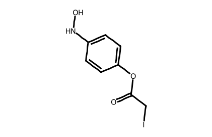 O=C(CI)Oc1ccc(NO)cc1